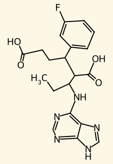 CCC(Nc1ncnc2[nH]cnc12)C(C(=O)O)C(CCC(=O)O)c1cccc(F)c1